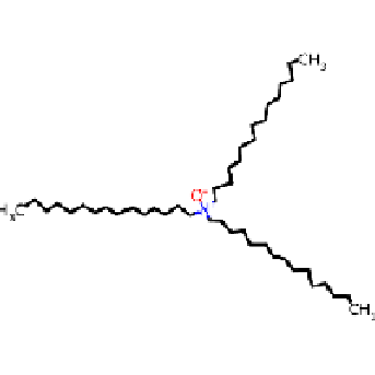 CCCCCCCCCCCCCCC[N+]([O-])(CCCCCCCCCCCCCCC)CCCCCCCCCCCCCCC